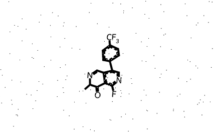 CC1N=Cc2c(-c3ccc(C(F)(F)F)cc3)cnc(F)c2C1=O